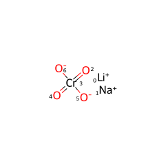 [Li+].[Na+].[O]=[Cr](=[O])([O-])[O-]